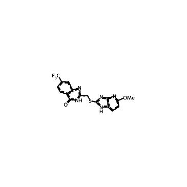 COc1ccc2[nH]c(SCc3nc4cc(C(F)(F)F)ccc4c(=O)[nH]3)nc2n1